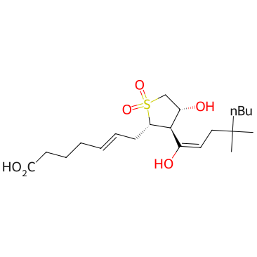 CCCCC(C)(C)C/C=C(/O)[C@@H]1[C@@H](O)CS(=O)(=O)[C@H]1CC=CCCCC(=O)O